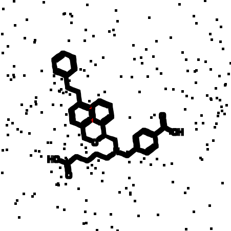 O=C(O)CCCCN(Cc1ccc(C(=O)O)cc1)C[C@@H](OCc1ccc(CCc2ccccc2)cc1)c1ccccc1